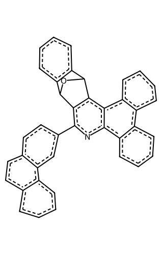 c1ccc2c(c1)C1OC2c2c1c(-c1ccc3ccc4ccccc4c3c1)nc1c3ccccc3c3ccccc3c21